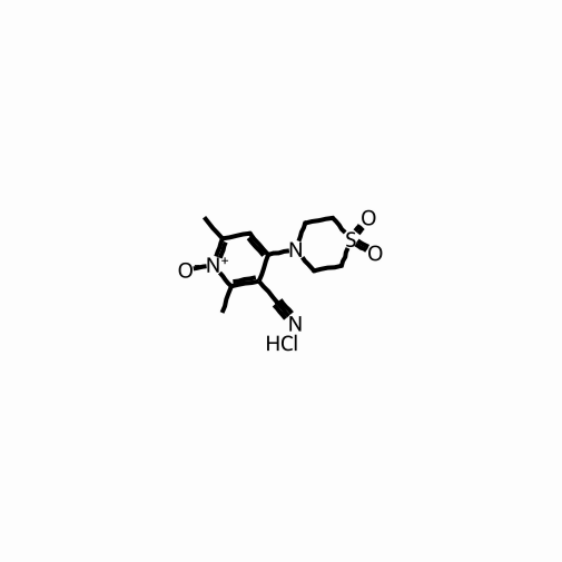 Cc1cc(N2CCS(=O)(=O)CC2)c(C#N)c(C)[n+]1[O-].Cl